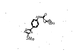 CSc1nc(-c2ccc(NC(=O)OC(C)(C)C)cc2)ns1